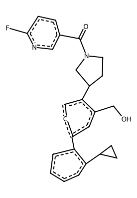 O=C(c1ccc(F)nc1)N1CCC(c2ccc(-c3ccccc3C3CC3)cc2CO)C1